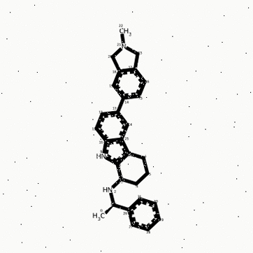 C[C@@H](NC1CCCc2c1[nH]c1ccc(-c3ccc4c(c3)CN(C)C4)cc21)c1ccccc1